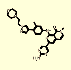 Cc1cc(Nc2nc(-c3cnc(N)nc3)cc3ccn(C)c(=O)c23)ccc1-c1cnn(CCN2CCOCC2)c1